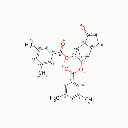 Cc1cc(C)cc(C(=O)OC2C3CC(C2OC(=O)c2cc(C)cc(C)c2)C2C(=O)CCC32)c1